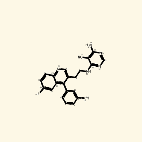 N#Cc1cccc(-c2c(CCNc3ncnc(N)c3C#N)cnc3ccc(F)cc23)c1